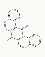 CCc1ccc2ccccc2c1C(=O)c1c(CC)ccc2ccccc12